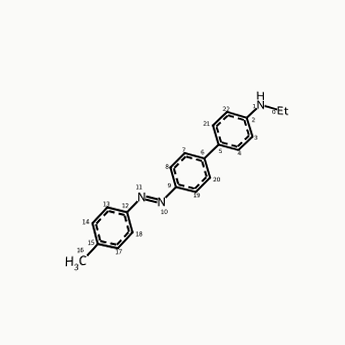 CCNc1ccc(-c2ccc(N=Nc3ccc(C)cc3)cc2)cc1